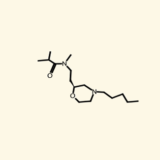 CCCCCN1CCO[C@@H](CCN(C)C(=O)C(C)C)C1